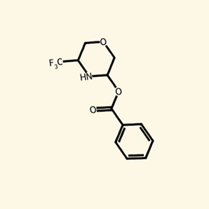 O=C(OC1COCC(C(F)(F)F)N1)c1ccccc1